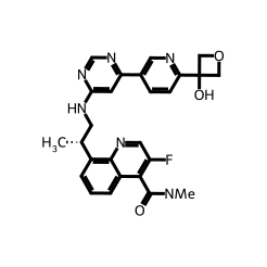 CNC(=O)c1c(F)cnc2c([C@H](C)CNc3cc(-c4ccc(C5(O)COC5)nc4)ncn3)cccc12